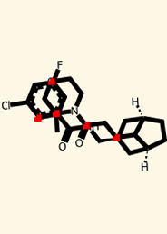 CC1(C)COCCN1C(=O)CCC1[C@@H]2CC[C@H]1C[C@@H](CNC(=O)c1cc(F)cc(Cl)c1)C2